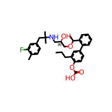 CCCc1cc(-c2ccccc2C(C)OC[C@H](O)CNC(C)(C)Cc2ccc(C)c(F)c2)ccc1OC(=O)O